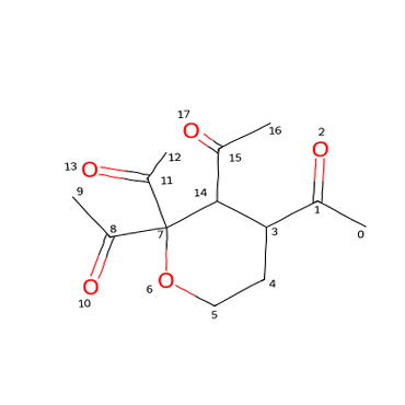 CC(=O)C1CCOC(C(C)=O)(C(C)=O)C1C(C)=O